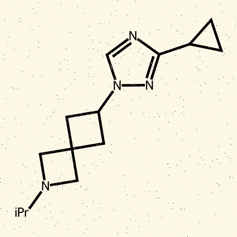 CC(C)N1CC2(CC(n3cnc(C4CC4)n3)C2)C1